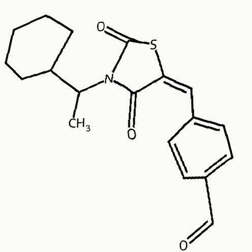 CC(C1CCCCC1)N1C(=O)SC(=Cc2ccc(C=O)cc2)C1=O